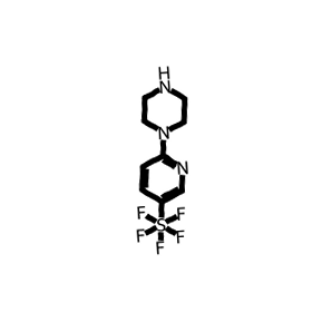 FS(F)(F)(F)(F)c1ccc(N2CCNCC2)nc1